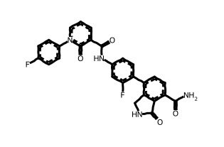 NC(=O)c1ccc(-c2ccc(NC(=O)c3cccn(-c4ccc(F)cc4)c3=O)cc2F)c2c1C(=O)NC2